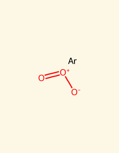 O=[O+][O-].[Ar]